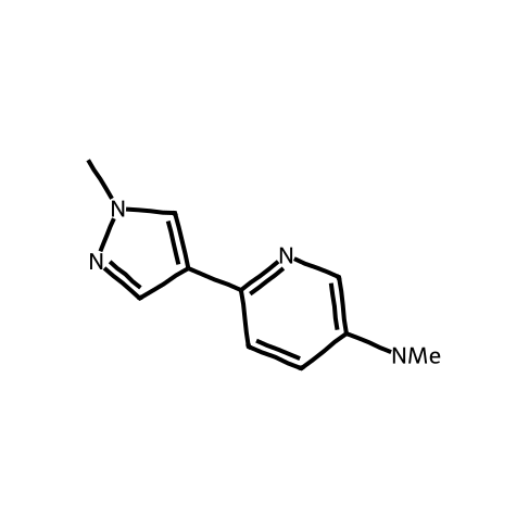 CNc1ccc(-c2cnn(C)c2)nc1